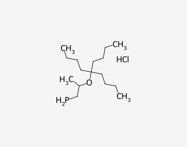 CCCCC(CCCC)(CCCC)OC(C)CP.Cl